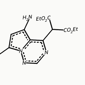 CCOC(=O)C(C(=O)OCC)c1ncnn2c(C)cc(N)c12